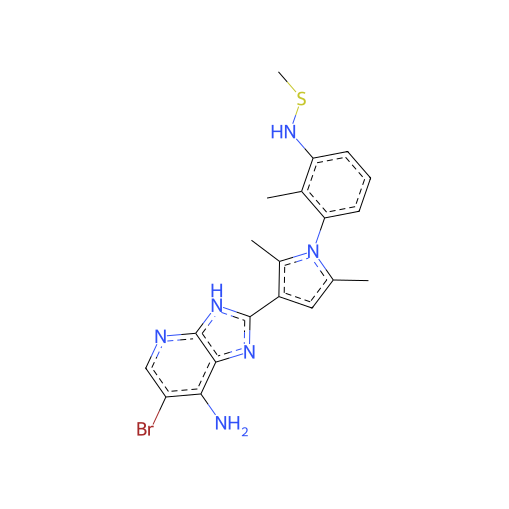 CSNc1cccc(-n2c(C)cc(-c3nc4c(N)c(Br)cnc4[nH]3)c2C)c1C